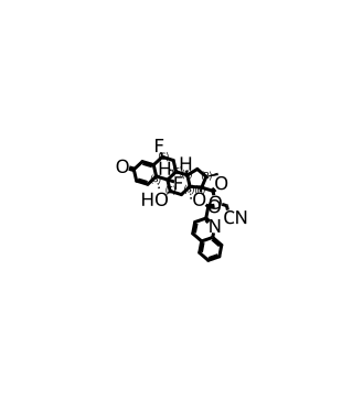 C[C@@H]1C[C@H]2[C@@H]3C[C@H](F)C4=CC(=O)C=C[C@]4(C)C3(F)[C@@H](O)C[C@]2(C)[C@@]1(OC(=O)c1ccc2ccccc2n1)C(=O)OCC#N